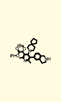 Cc1nc(C)c(C(OC(C)(C)C)C(=O)OC(C)C)c(N2CCC3(CCCC3)CC2)c1-c1ccc2c(c1)CCNC2